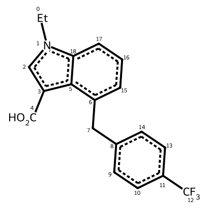 CCn1cc(C(=O)O)c2c(Cc3ccc(C(F)(F)F)cc3)cccc21